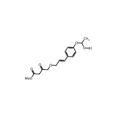 CCOC(C)Oc1ccc(/C=C/COCC(=O)CC(=O)OC)cc1